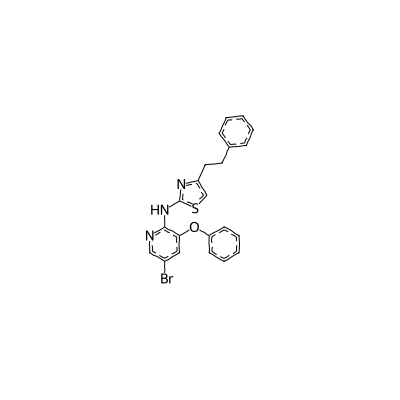 Brc1cnc(Nc2nc(CCc3ccccc3)cs2)c(Oc2ccccc2)c1